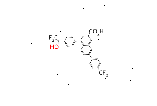 O=C(O)c1cc(-c2ccc([C@@H](O)C(F)(F)F)cc2)c2ccc(-c3ccc(C(F)(F)F)cc3)cc2c1